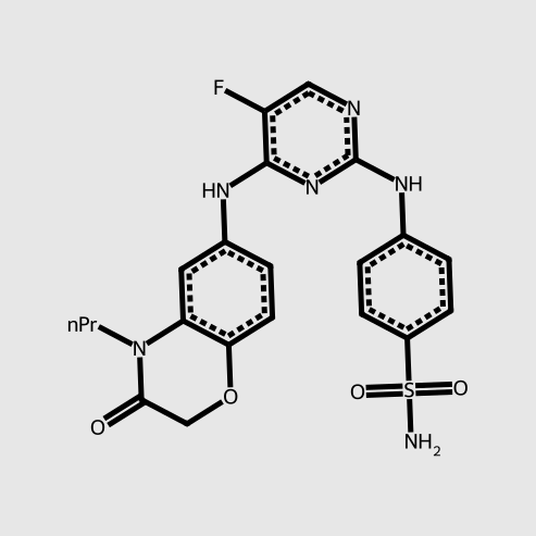 CCCN1C(=O)COc2ccc(Nc3nc(Nc4ccc(S(N)(=O)=O)cc4)ncc3F)cc21